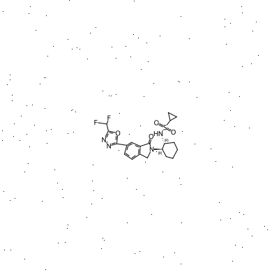 O=C1c2cc(-c3nnc(C(F)F)o3)ccc2CN1[C@@H]1CCCC[C@H]1NS(=O)(=O)C1CC1